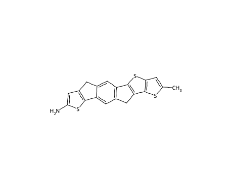 Cc1cc2sc3c(c2s1)Cc1cc2c(cc1-3)Cc1cc(N)sc1-2